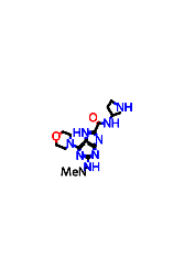 CNNc1nc(N2CCOCC2)c2[nH]c(C(=O)NC3CCNC3)nc2n1